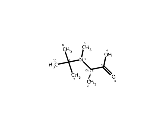 C[C@@H](C(=O)O)N(C)C(C)(C)C